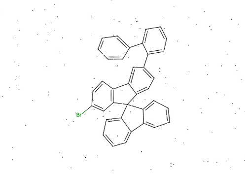 Brc1ccc2c(c1)C1(c3ccccc3-c3ccccc31)c1ccc(-c3ccccc3-c3ccccc3)cc1-2